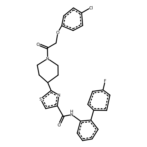 O=C(Nc1ccccc1-c1ccc(F)cc1)c1csc(C2CCN(C(=O)COc3ccc(Cl)cc3)CC2)n1